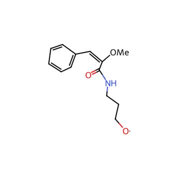 COC(=Cc1ccccc1)C(=O)NCCC[O]